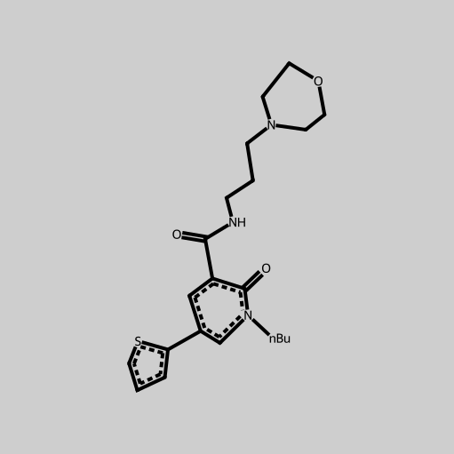 CCCCn1cc(-c2cccs2)cc(C(=O)NCCCN2CCOCC2)c1=O